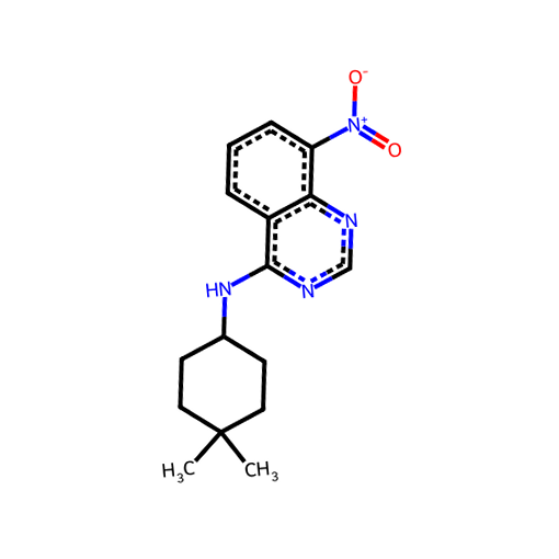 CC1(C)CCC(Nc2ncnc3c([N+](=O)[O-])cccc23)CC1